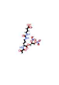 CC(=O)C(=O)N[C@@H](CCCNC(=O)NCCCC(=O)O)C(=O)OC[C@H](CO[N+](=O)[O-])O[N+](=O)[O-]